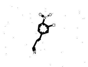 N#C/C=C/c1ccc([N+](=O)[O-])c(Cl)c1